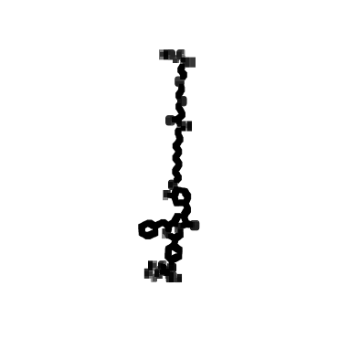 CC(C)(C)[Si](C)(C)Oc1ccc(C2=CN3C(=O)C(=Cc4ccc(OCCCCCCCCNC(=O)CCOCCOCCNC(=O)O)c(F)c4)C=C3C(Cc3ccccc3)=N2)cc1